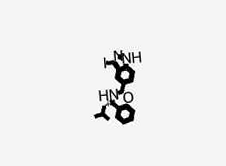 CC(C)C[C@H](NC(=O)c1ccc2[nH]nc(I)c2c1)c1ccccc1